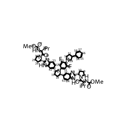 COC(=O)N[C@H](C(=O)N1CCC[C@H]1c1nc2cc([C@H]3CC[C@H](c4ccc5nc([C@@H]6CCCN6C(=O)[C@@H](NC(=O)OC)C(C)C)[nH]c5c4)N3c3cc(F)c(N4CCC(c5ccccc5)C4)c(F)c3)ccc2[nH]1)C(C)C